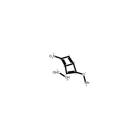 CCCOc1cc2c([N+](=O)[O-])cc1-2.O=CO